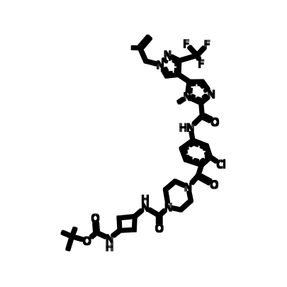 C=C(C)Cn1cc(-c2cnc(C(=O)Nc3ccc(C(=O)N4CCN(C(=O)NC5CC(NC(=O)OC(C)(C)C)C5)CC4)c(Cl)c3)n2C)c(C(F)(F)F)n1